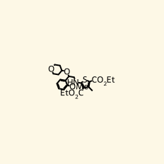 CCOC(=O)c1sc(NCC(OC2CCOCC2)c2ccccc2OC)c(C(=O)OCC)c1C